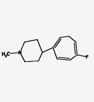 CN1CCC(C2=CCC=C(F)C=C2)CC1